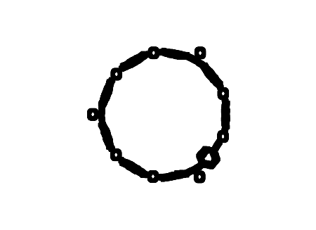 O=C1c2ccc(cc2)Oc2ccc(cc2)Oc2ccc(cc2)C(=O)c2ccc(cc2)Oc2ccc(cc2)Oc2ccc(cc2)C(=O)c2ccc(cc2)Oc2ccc(cc2)Oc2ccc1cc2